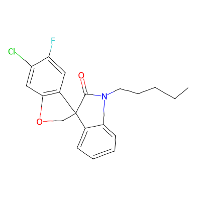 CCCCCN1C(=O)C2(COc3cc(Cl)c(F)cc32)c2ccccc21